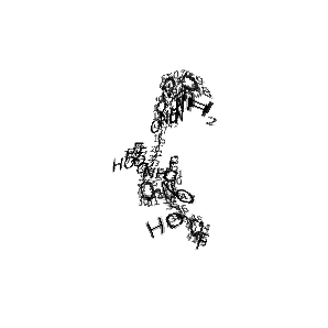 Nc1ncccc1C(c1ccccc1NC(=O)CCCCCCCC(=O)NCc1cccc(C2C(CCC(O)c3ccc(F)cc3)C(=O)N2c2ccc(F)cc2)c1)C(c1ccccn1)C(O)c1ccccc1.O=C(O)C(F)(F)F